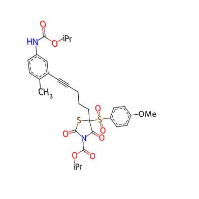 COc1ccc(S(=O)(=O)C2(CCCC#Cc3cc(NC(=O)OC(C)C)ccc3C)SC(=O)N(C(=O)OC(C)C)C2=O)cc1